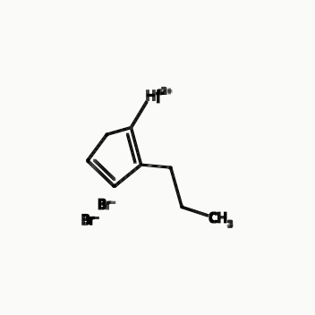 CCCC1=[C]([Hf+2])CC=C1.[Br-].[Br-]